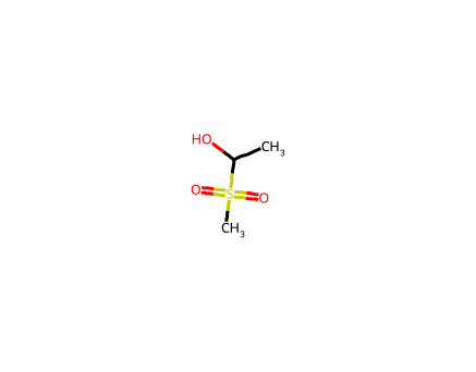 CC(O)S(C)(=O)=O